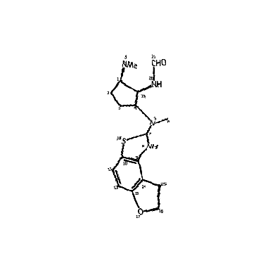 CN[C@@H]1CCC(N(C)C2Nc3c(ccc4c3CCO4)S2)C1NC=O